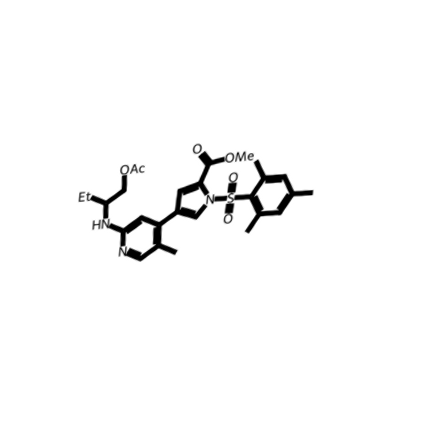 CCC(COC(C)=O)Nc1cc(-c2cc(C(=O)OC)n(S(=O)(=O)c3c(C)cc(C)cc3C)c2)c(C)cn1